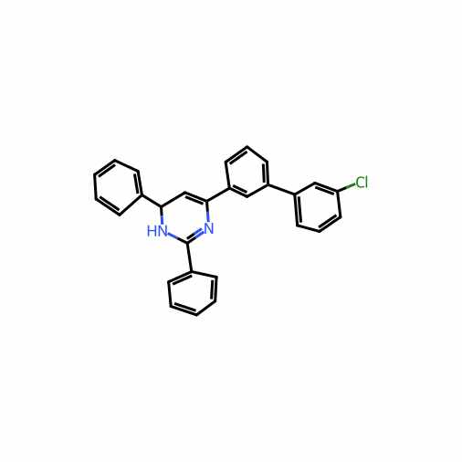 Clc1cccc(-c2cccc(C3=CC(c4ccccc4)NC(c4ccccc4)=N3)c2)c1